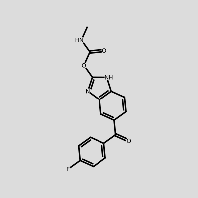 CNC(=O)Oc1nc2cc(C(=O)c3ccc(F)cc3)ccc2[nH]1